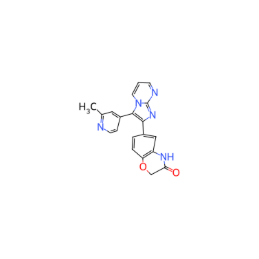 Cc1cc(-c2c(-c3ccc4c(c3)NC(=O)CO4)nc3ncccn23)ccn1